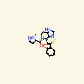 Cn1nccc1C(=O)N1CCc2[nH]cnc2[C@H]1c1oc2ccccc2c1F